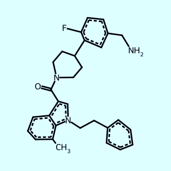 Cc1cccc2c(C(=O)N3CCC(c4cc(CN)ccc4F)CC3)cn(CCc3ccccc3)c12